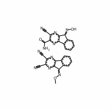 CON=C1c2ccccc2-c2nc(C#N)c(C#N)nc21.N#Cc1nc2c(nc1C(N)=O)-c1ccccc1C2=NO